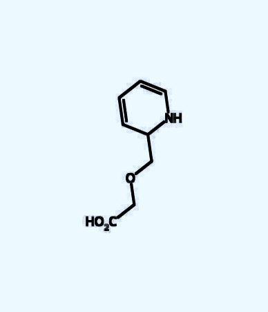 O=C(O)COCC1C=CC=CN1